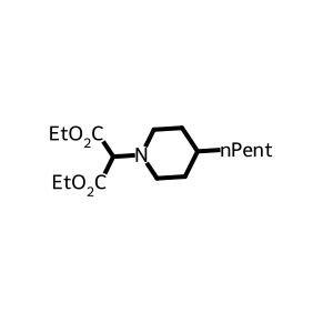 CCCCCC1CCN(C(C(=O)OCC)C(=O)OCC)CC1